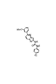 COc1cccc(-c2ccc3nc(NC(=O)Nc4ccc(Cl)cc4)cn3n2)c1